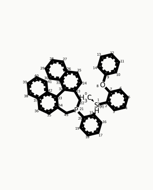 C[Si@H](c1ccccc1Oc1ccccc1)c1ccccc1P1Cc2ccc3ccccc3c2-c2c(ccc3ccccc23)C1